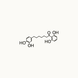 O=C(CCCCCCc1ccc(O)c(O)c1)c1c(O)cccc1O